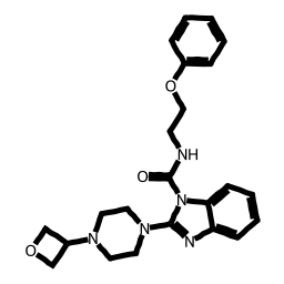 O=C(NCCOc1ccccc1)n1c(N2CCN(C3COC3)CC2)nc2ccccc21